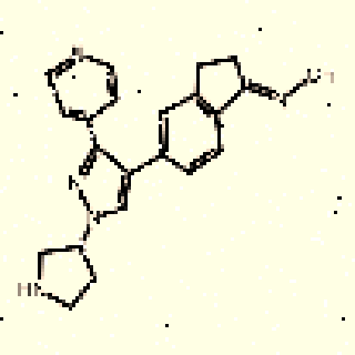 O/N=C1\CCc2cc(-c3cn(C4CCNC4)nc3-c3ccncc3)ccc21